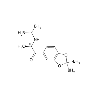 BC(B)N[C@H](C)C(=O)c1ccc2c(c1)OC(B)(B)O2